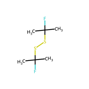 CC(C)(F)SSC(C)(C)F